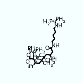 CC(C)C(CC(=O)NCCCCCNP(P)P)CC(C)(C)C(C)(C)CC(CC(=O)OP(P)PP)C(C)C